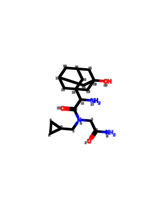 NC(=O)CN(CC1CC1)C(=O)C(N)C12CC3CC(CC(O)(C3)C1)C2